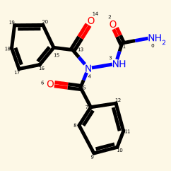 NC(=O)NN(C(=O)c1ccccc1)C(=O)c1ccccc1